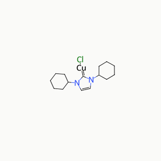 [Cl][Cu]=[c]1n(C2CCCCC2)ccn1C1CCCCC1